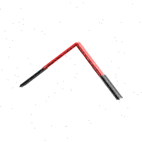 [Al+3].[Al+3].[Al+3].[Al+3].[Al+3].[Al+3].[Al+3].[Al+3].[Al+3].[Al+3].[Al+3].[Al+3].[Al+3].[Al+3].[Al+3].[Al+3].[Al+3].[Al+3].[Al+3].[Al+3].[Al+3].[Al+3].[Al+3].[Al+3].[Al+3].[Al+3].[Al+3].[Al+3].[Al+3].[Al+3].[Al+3].[Al+3].[Al+3].[Al+3].[Al+3].[Al+3].[Al+3].[Al+3].[Al+3].[Al+3].[Al+3].[Al+3].[Al+3].[Al+3].[Al+3].[Al+3].[Al+3].[Al+3].[Al+3].[Al+3].[O-2].[O-2].[O-2].[O-2].[O-2].[O-2].[O-2].[O-2].[O-2].[O-2].[O-2].[O-2].[O-2].[O-2].[O-2].[O-2].[O-2].[O-2].[O-2].[O-2].[O-2].[O-2].[O-2].[O-2].[O-2].[O-2].[O-2].[O-2].[O-2].[O-2].[O-2].[O-2].[O-2].[O-2].[O-2].[O-2].[O-2].[O-2].[O-2].[O-2].[O-2].[O-2].[O-2].[O-2].[O-2].[O-2].[O-2].[O-2].[O-2].[O-2].[O-2].[O-2].[O-2].[O-2].[O-2].[O-2].[O-2].[O-2].[O-2].[O-2].[O-2].[O-2].[O-2].[O-2].[O-2].[O-2].[O-2].[O-2].[O-2].[O-2]